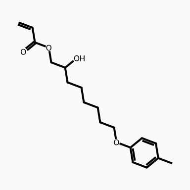 C=CC(=O)OCC(O)CCCCCCOc1ccc(C)cc1